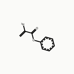 [2H]C(=C)C(=O)Oc1ccccc1